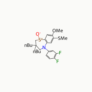 CCCCC1(CCCC)CN(c2ccc(F)c(F)c2)c2cc(SC)c(OC)cc2[S+]([O-])C1